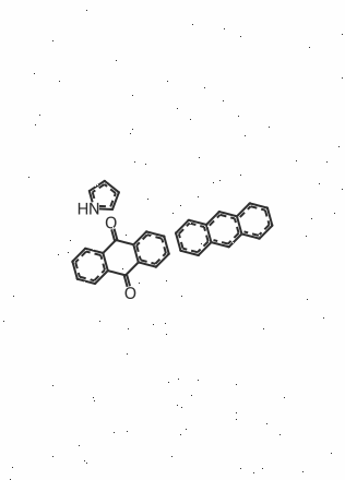 O=C1c2ccccc2C(=O)c2ccccc21.c1cc[nH]c1.c1ccc2cc3ccccc3cc2c1